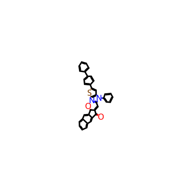 O=C1C(=Cc2nc3sc(-c4ccc(-c5ccccc5)cc4)cc3n2-c2ccccc2)C(=O)c2cc3ccccc3cc21